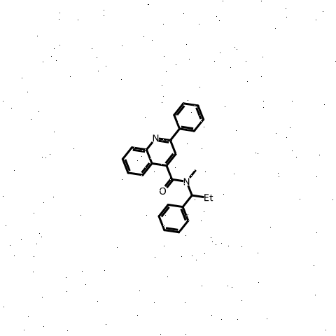 CCC(c1ccccc1)N(C)C(=O)c1cc(-c2ccccc2)nc2ccccc12